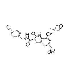 Cn1c(=O)c(C(=O)NCc2ccc(Cl)cc2)cc2cc(CO)cc(OCC3(C)COC3)c21